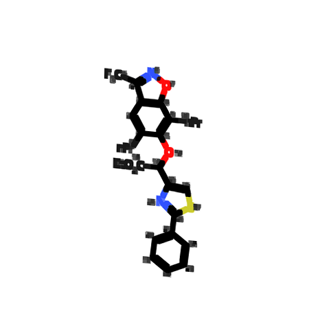 CCCc1cc2c(C(F)(F)F)noc2c(CCC)c1OC(C(=O)OCC)c1csc(-c2ccccc2)n1